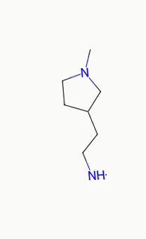 CN1CCC(CC[NH])C1